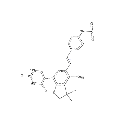 COc1c(/C=C/c2ccc(NS(C)(=O)=O)cc2)cc(-c2c[nH]c(=O)[nH]c2=O)c2c1C(C)(C)CO2